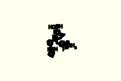 NS(=O)(=O)c1ccc(Cc2c(-c3cccc(-c4nc5ccccc5[nH]4)c3)nn(-c3nc(C(O)O)cs3)c2CC2CC2)cc1F